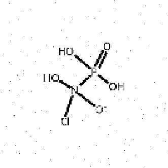 O=P(O)(O)[N+]([O-])(O)Cl